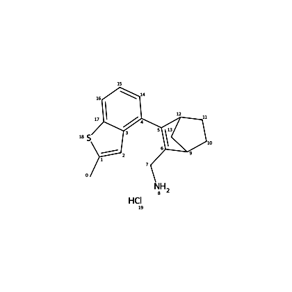 Cc1cc2c(C3=C(CN)C4CCC3C4)cccc2s1.Cl